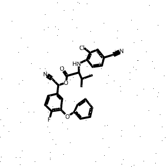 CC(C)C(Nc1ccc(C#N)cc1Cl)C(=O)OC(C#N)c1ccc(F)c(Oc2ccccc2)c1